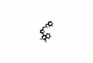 O=c1[nH]cc(-c2ccc(CNCc3ccncc3)o2)c2c1CCCC2